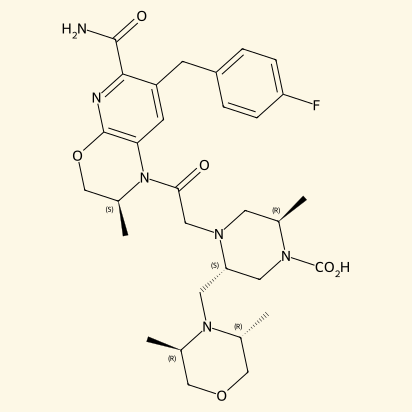 C[C@@H]1CN(CC(=O)N2c3cc(Cc4ccc(F)cc4)c(C(N)=O)nc3OC[C@@H]2C)[C@@H](CN2[C@H](C)COC[C@H]2C)CN1C(=O)O